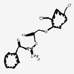 CN(OC(=O)COc1ccc(Cl)cc1Cl)C(=O)c1ccccc1